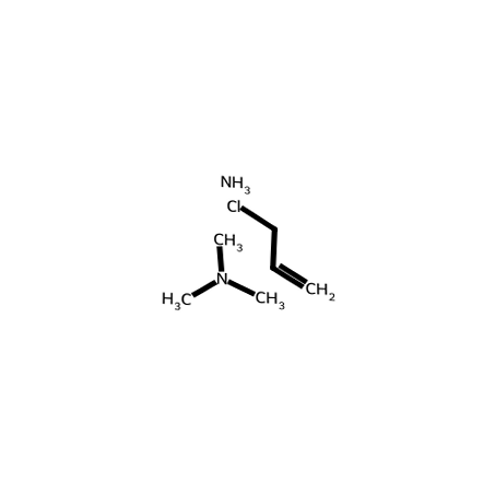 C=CCCl.CN(C)C.N